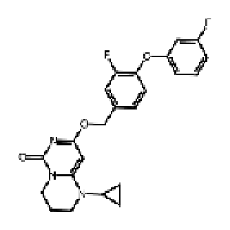 O=c1nc(OCc2ccc(Oc3cccc(F)c3)c(F)c2)cc2n1CCCN2C1CC1